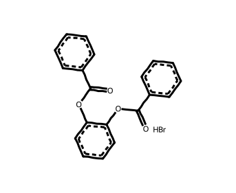 Br.O=C(Oc1ccccc1OC(=O)c1ccccc1)c1ccccc1